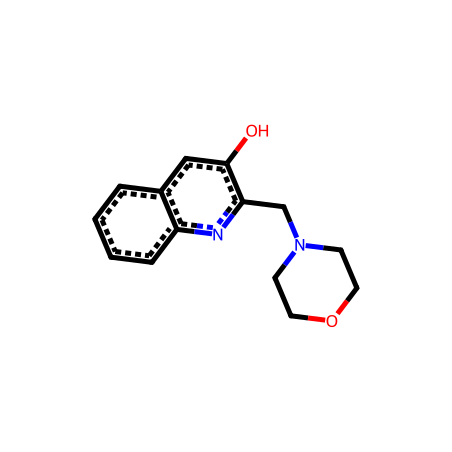 Oc1cc2ccccc2nc1CN1CCOCC1